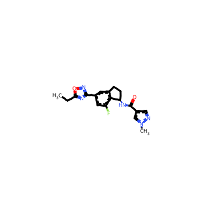 CCc1nc(-c2cc(F)c3c(c2)CC[C@H]3NC(=O)c2cnn(C)c2)no1